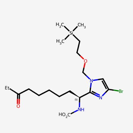 CCC(=O)CCCCC[C@H](NC(=O)O)c1nc(Br)cn1COCC[Si](C)(C)C